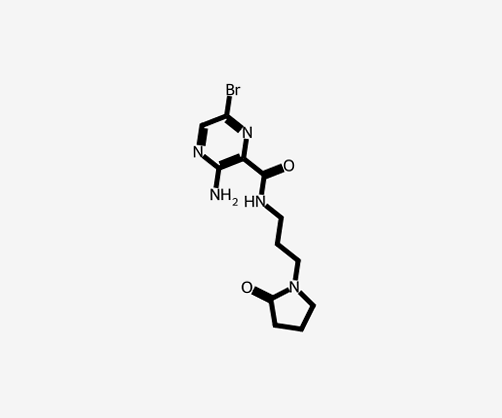 Nc1ncc(Br)nc1C(=O)NCCCN1CCCC1=O